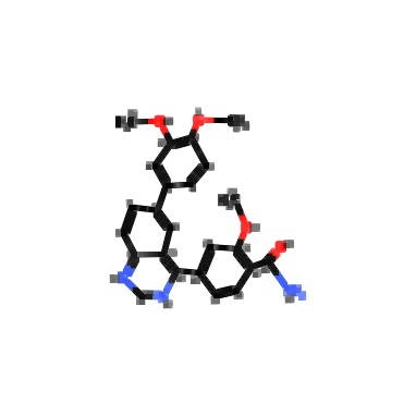 COc1ccc(-c2ccc3ncnc(-c4ccc(C(N)=O)c(OC)c4)c3c2)cc1OC